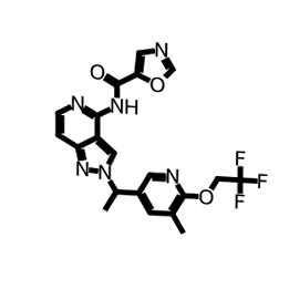 Cc1cc(C(C)n2cc3c(NC(=O)c4cnco4)nccc3n2)cnc1OCC(F)(F)F